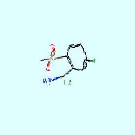 CS(=O)(=O)c1ccc(F)cc1CN.Cl